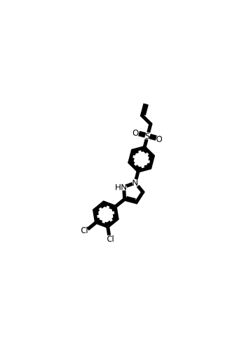 C=CCS(=O)(=O)c1ccc(N2CC=C(c3ccc(Cl)c(Cl)c3)N2)cc1